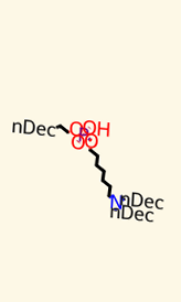 CCCCCCCCCCCCOP(=O)(O)OCCCCCCCN(CCCCCCCCCC)CCCCCCCCCC